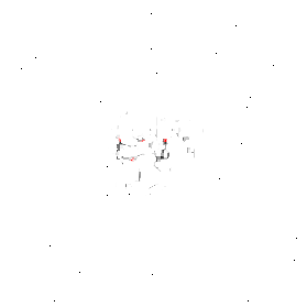 Cc1ccccc1NC(=O)N1C2CC[C@H]1CC(OCc1c(-c3c(Cl)cccc3Cl)noc1C1CC1)C2